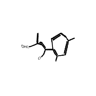 CC(C=O)=C(Cl)c1ccc(C)cc1C